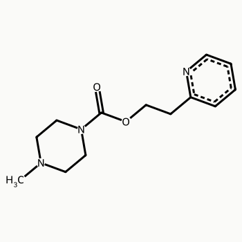 CN1CCN(C(=O)OCCc2ccccn2)CC1